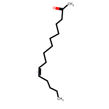 CCCC/C=C\CCCCCCCC(C)=O